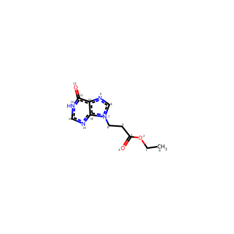 CCOC(=O)CCn1cnc2c(=O)[nH]cnc21